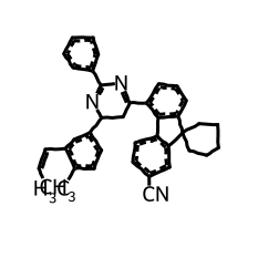 C/C=C\c1cc(C2CC(c3cccc4c3-c3ccc(C#N)cc3C43CCCCC3)=NC(c3ccccc3)=N2)ccc1C